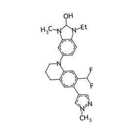 CCN1c2ccc(N3CCCc4cc(-c5cnn(C)c5)c(C(F)F)cc43)cc2N(C)C1O